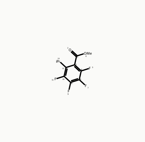 COC(=O)c1c(F)c(F)c(F)c(F)c1C(C)C